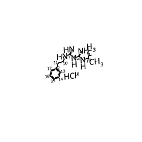 CC(C)NC(=N)NC(=N)NCCc1ccccc1.Cl